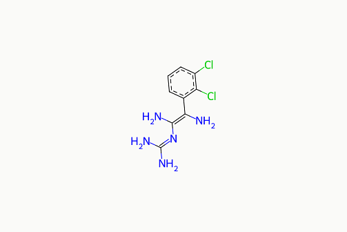 NC(N)=N/C(N)=C(\N)c1cccc(Cl)c1Cl